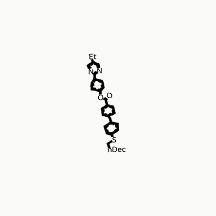 CCCCCCCCCCCSc1ccc(-c2ccc(C(=O)Oc3ccc(-c4ncc(CC)cn4)cc3)cc2)cc1